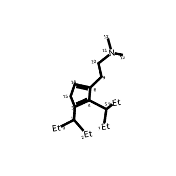 CCC(CC)C1=C(C(CC)CC)C(CCN(C)C)=CC1